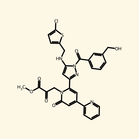 COC(=O)C(=O)Cn1c(-c2cc(NCc3ccc(Cl)s3)n(C(=O)c3cccc(CO)c3)n2)cc(-c2ccccn2)cc1=O